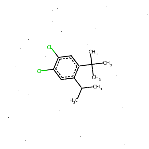 CC(C)c1cc(Cl)c(Cl)cc1C(C)(C)C